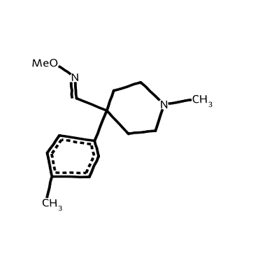 CO/N=C/C1(c2ccc(C)cc2)CCN(C)CC1